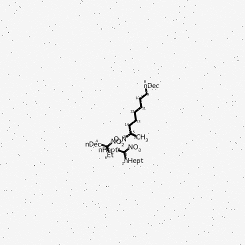 CCCCCCCC(CCCCCCC)[N+](=O)[O-].CCCCCCCCCCC(CC)[N+](=O)[O-].CCCCCCCCCCCCCCCCC(C)[N+](=O)[O-]